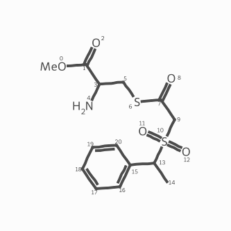 COC(=O)C(N)CSC(=O)CS(=O)(=O)C(C)c1ccccc1